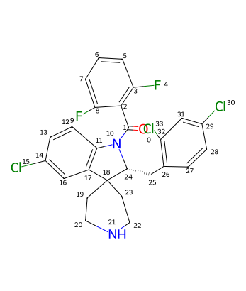 O=C(c1c(F)cccc1F)N1c2ccc(Cl)cc2C2(CCNCC2)[C@H]1Cc1ccc(Cl)cc1Cl